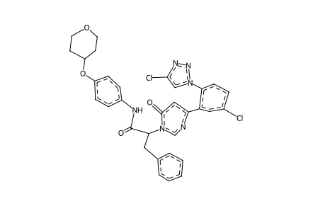 O=C(Nc1ccc(OC2CCOCC2)cc1)C(Cc1ccccc1)n1cnc(-c2cc(Cl)ccc2-n2cc(Cl)nn2)cc1=O